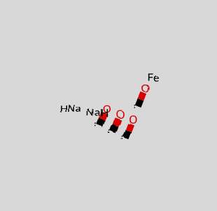 [C]=O.[C]=O.[C]=O.[C]=O.[Fe].[NaH].[NaH]